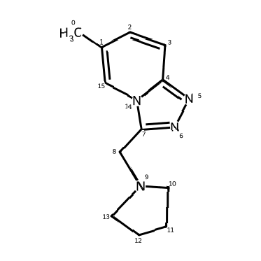 Cc1ccc2nnc(CN3CCCC3)n2c1